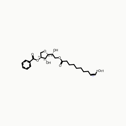 CCCCCCCC/C=C\CCCCCCCC(=O)OC[C@@H](O)[C@H]1OC[C@H](OC(=O)c2ccccc2)[C@H]1O